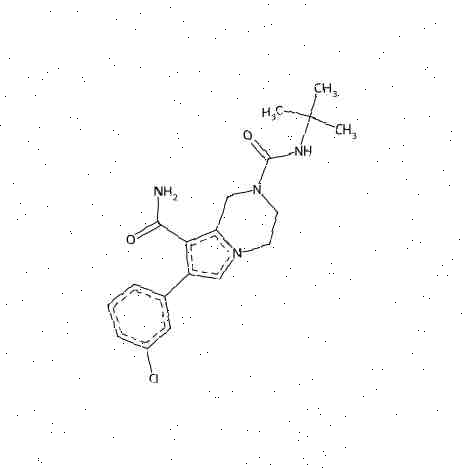 CC(C)(C)NC(=O)N1CCn2cc(-c3cccc(Cl)c3)c(C(N)=O)c2C1